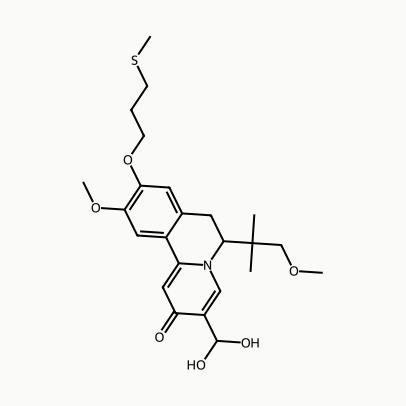 COCC(C)(C)C1Cc2cc(OCCCSC)c(OC)cc2-c2cc(=O)c(C(O)O)cn21